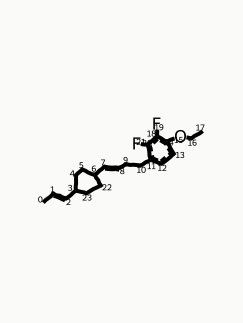 C/C=C/C1CCC(/C=C/CCc2ccc(OCC)c(F)c2F)CC1